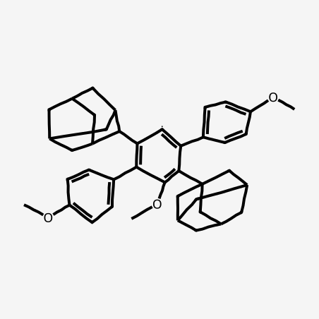 COc1ccc(-c2[c]c(C3C4CC5CC(C4)CC3C5)c(-c3ccc(OC)cc3)c(OC)c2C23CC4CC(CC(C4)C2)C3)cc1